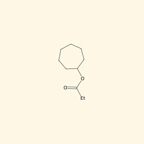 CCC(=O)OC1CCCCCC1